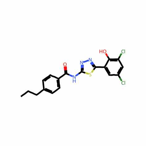 CCCc1ccc(C(=O)Nc2nnc(-c3cc(Cl)cc(Cl)c3O)s2)cc1